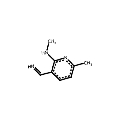 CNc1nc(C)ccc1C=N